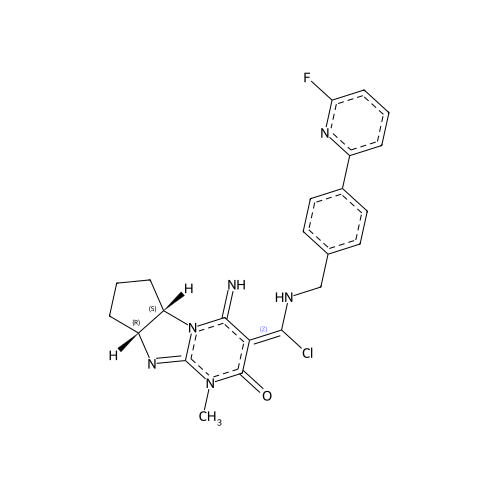 Cn1c(=O)/c(=C(\Cl)NCc2ccc(-c3cccc(F)n3)cc2)c(=N)n2c1=N[C@@H]1CCC[C@@H]12